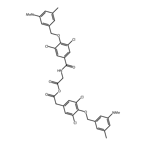 CNc1cc(C)cc(COc2c(Cl)cc(CC(=O)OC(=O)CNC(=O)c3cc(Cl)c(OCc4cc(C)cc(NC)c4)c(Cl)c3)cc2Cl)c1